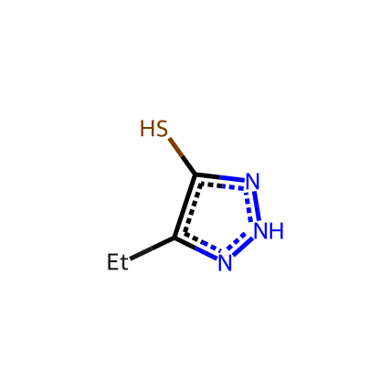 CCc1n[nH]nc1S